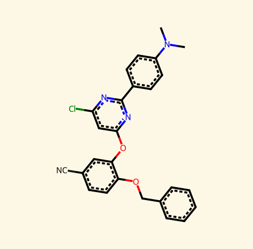 CN(C)c1ccc(-c2nc(Cl)cc(Oc3cc(C#N)ccc3OCc3ccccc3)n2)cc1